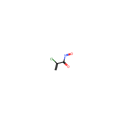 C=C(Cl)C(=O)N=O